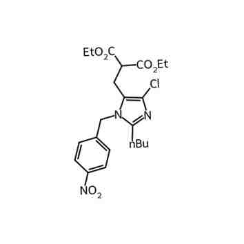 CCCCc1nc(Cl)c(CC(C(=O)OCC)C(=O)OCC)n1Cc1ccc([N+](=O)[O-])cc1